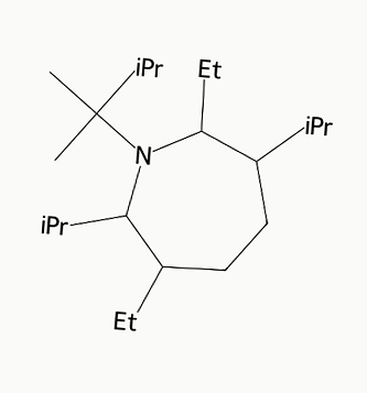 CCC1CCC(C(C)C)C(CC)N(C(C)(C)C(C)C)C1C(C)C